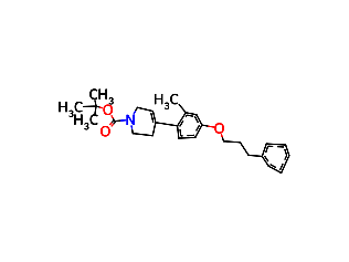 Cc1cc(OCCCc2ccccc2)ccc1C1=CCN(C(=O)OC(C)(C)C)CC1